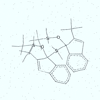 CC(C)(C)C1=Cc2ccccc2C1(O[Si](C)(C)C(C)(C)C)[Si](C)(C)C1(O[Si](C)(C)C(C)(C)C)C(C(C)(C)C)=Cc2ccccc21